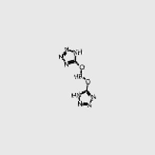 B(Oc1nnn[nH]1)Oc1nnn[nH]1